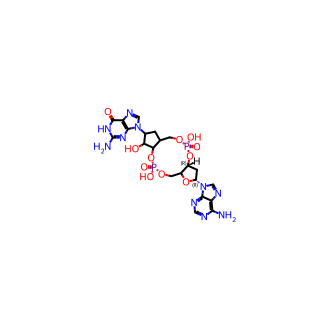 Nc1nc2c(ncn2C2CC3COP(=O)(O)O[C@@H]4C[C@H](n5cnc6c(N)ncnc65)OC4COP(=O)(O)OC3C2O)c(=O)[nH]1